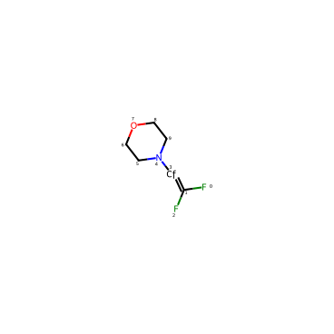 F[C](F)=[Cf][N]1CCOCC1